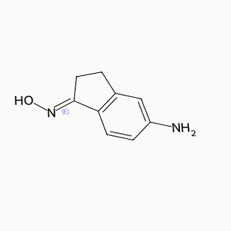 Nc1ccc2c(c1)CC/C2=N\O